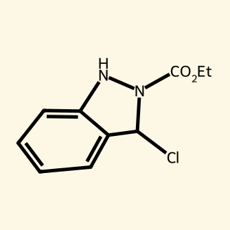 CCOC(=O)N1Nc2ccccc2C1Cl